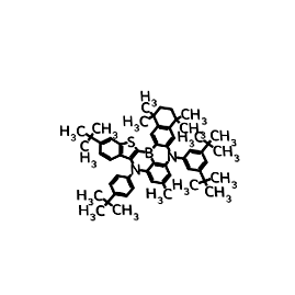 Cc1cc2c3c(c1)N(c1ccc(C(C)(C)C)cc1)c1c(sc4cc(C(C)(C)C)ccc14)B3c1cc3c(cc1N2c1cc(C(C)(C)C)cc(C(C)(C)C)c1)C(C)(C)CCC3(C)C